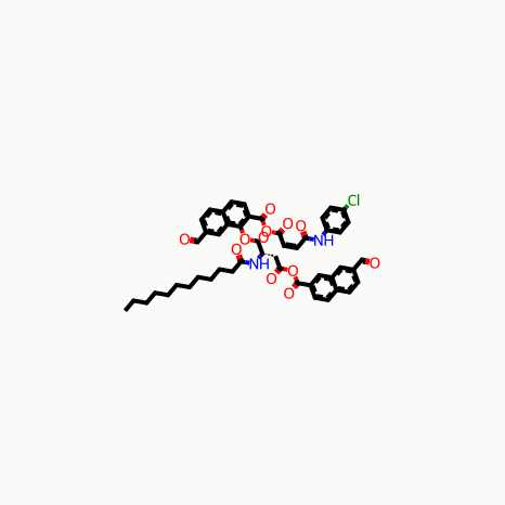 CCCCCCCCCCCC(=O)N[C@@H](CC(=O)OC(=O)c1ccc2ccc(C=O)cc2c1)C(=O)Oc1c(C(=O)OC(=O)/C=C\C(=O)Nc2ccc(Cl)cc2)ccc2ccc(C=O)cc12